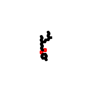 CCCC(C)CCCC(CCC)CCCC(=O)OC1CCC(C)CC1